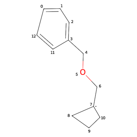 c1ccc(COC[C]2CCC2)cc1